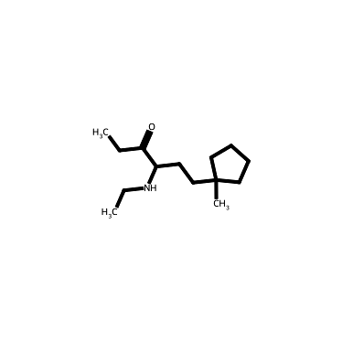 CCNC(CCC1(C)CCCC1)C(=O)CC